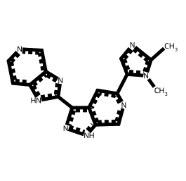 Cc1ncc(-c2cc3c(-c4nc5cnccc5[nH]4)n[nH]c3cn2)n1C